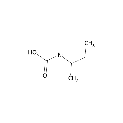 CCC(C)[N]C(=O)O